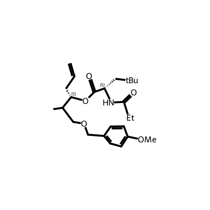 C=CC[C@H](OC(=O)[C@H](CC(C)(C)C)NC(=O)CC)C(C)COCc1ccc(OC)cc1